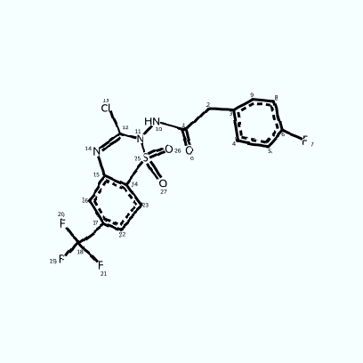 O=C(Cc1ccc(F)cc1)NN1C(Cl)=Nc2cc(C(F)(F)F)ccc2S1(=O)=O